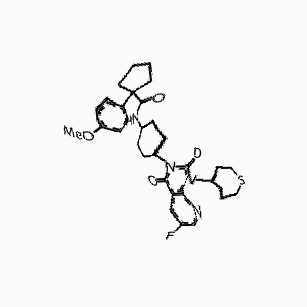 COc1ccc(C2(C(=O)NC3CCC(n4c(=O)c5cc(F)cnc5n(C5CCSCC5)c4=O)CC3)CCCC2)cc1